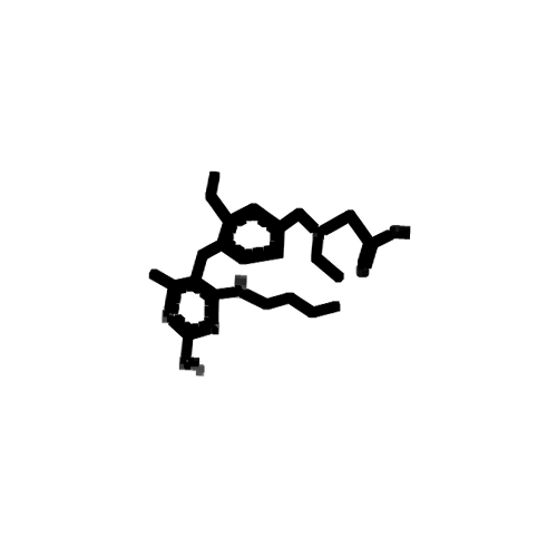 CCCCNc1nc(N)nc(C)c1Cc1ccc(CN(CC)CC(=O)O)cc1CC